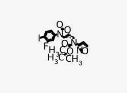 CC(C)(C)OC(=O)N(C[C@H]1CN(c2ccc(I)c(F)c2)C(=O)O1)c1ccon1